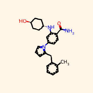 Cc1ccccc1Cc1cccn1-c1ccc(C(N)=O)c(N[C@H]2CC[C@H](O)CC2)c1